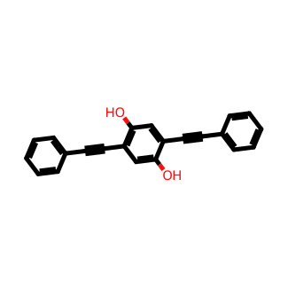 Oc1cc(C#Cc2ccccc2)c(O)cc1C#Cc1ccccc1